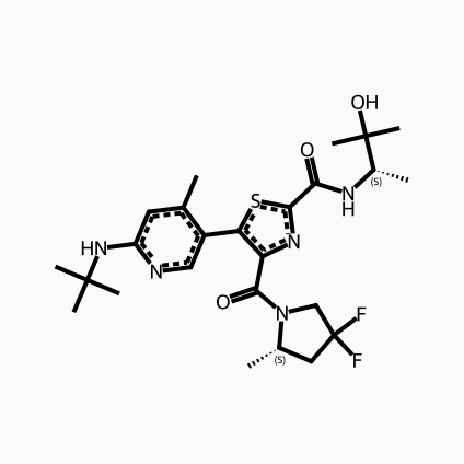 Cc1cc(NC(C)(C)C)ncc1-c1sc(C(=O)N[C@@H](C)C(C)(C)O)nc1C(=O)N1CC(F)(F)C[C@@H]1C